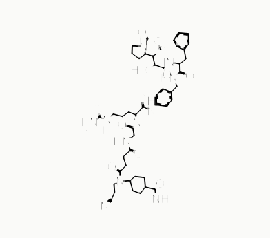 COC(C(C)C(=O)NC(Cc1ccccc1)C(=O)NCc1ccc(NC(=O)C(CCCNC(N)=O)NC(=O)CNC(=O)CCC(=O)N(CCC#N)C2CCC(C(N)=O)CC2)cc1)C1CCCN1C=O